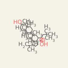 C=C(C)[C@@H]1CC[C@]2(C(=O)O)C(C(=O)CC(C)(C)C)C[C@]3(C)[C@H](CC[C@@H]4[C@@]5(C)CC[C@H](O)C(C)(C)[C@@H]5CC[C@]43C)[C@@H]12